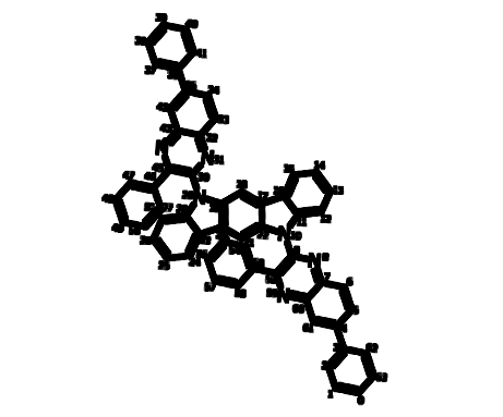 c1ccc(-c2ccc3nc(-n4c5ccccc5c5cc6c(cc54)c4ccccc4n6-c4nc5ccc(-c6ccccc6)cc5nc4-c4ccccc4)c(-c4ccccc4)nc3c2)cc1